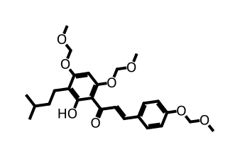 COCOc1ccc(/C=C/C(=O)c2c(OCOC)cc(OCOC)c(CCC(C)C)c2O)cc1